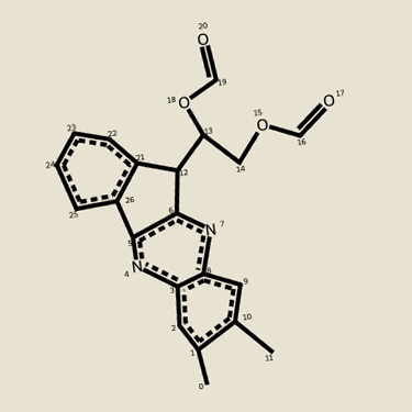 Cc1cc2nc3c(nc2cc1C)C(C(COC=O)OC=O)c1ccccc1-3